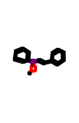 COP(/C=C/c1ccccc1)c1ccccc1